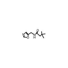 CC(C)(C)CC(=O)NCc1cnco1